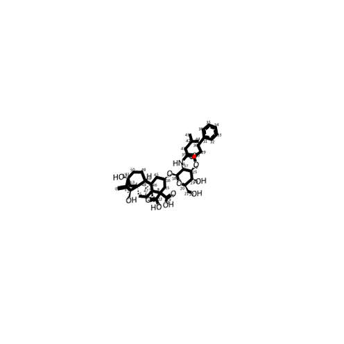 C=C1[C@H](O)[C@]23CC[C@H]4C(C(=O)O)(C(=O)O)C[C@@H](O[C@@H]5O[C@H](CO)[C@@H](O)[C@H](OC(=O)CCc6ccccc6)[C@H]5NC(=O)CC(C)C)C[C@]4(C)[C@H]2CC[C@@]1(O)C3